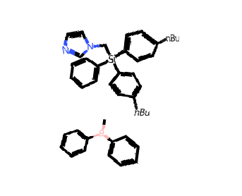 CB(c1ccccc1)c1ccccc1.CCCCc1ccc([Si](Cn2ccnc2)(c2ccccc2)c2ccc(CCCC)cc2)cc1